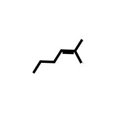 [CH2]/C(C)=C\CCC